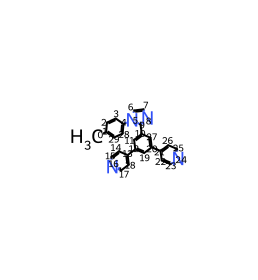 Cc1ccc(-n2ccnc2-c2cc(-c3ccncc3)cc(-c3ccncc3)c2)cc1